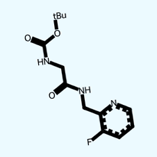 CC(C)(C)OC(=O)NCC(=O)NCc1ncccc1F